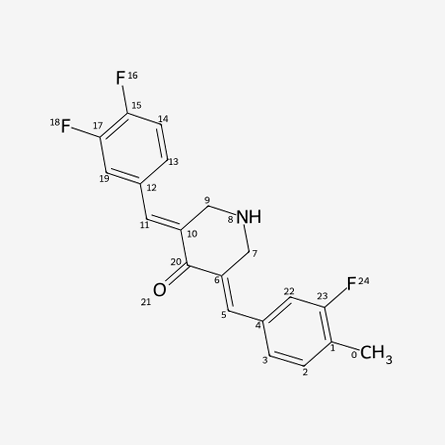 Cc1ccc(/C=C2\CNC/C(=C\c3ccc(F)c(F)c3)C2=O)cc1F